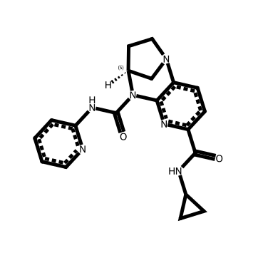 O=C(NC1CC1)c1ccc2c(n1)N(C(=O)Nc1ccccn1)[C@H]1CCN2C1